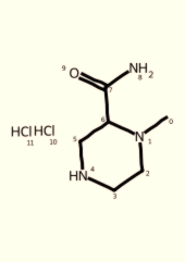 CN1CCNCC1C(N)=O.Cl.Cl